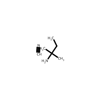 C#N.CCC(C)(C)N